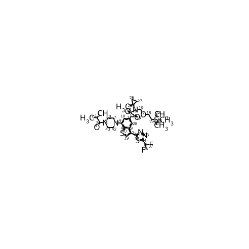 CC(C)C(=O)N1CCN(c2cc(S(=O)(=O)N(COCC[Si](C)(C)C)C3(C)CC3)cc3c(-c4nnc(C(F)F)s4)csc23)CC1